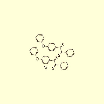 S=C(C(=S)c1ccc(Oc2ccccc2)cc1)c1ccccc1.S=C(C(=S)c1ccc(Oc2ccccc2)cc1)c1ccccc1.[Ni]